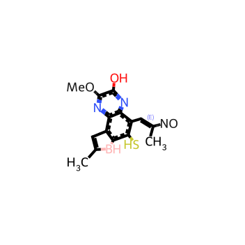 COc1nc2c3c(c(S)c(/C=C(\C)N=O)c2nc1O)BC(C)=C3